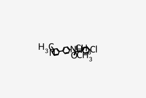 Cc1cc(-c2ccc(NC(=O)C(C)(C)c3ccc(Cl)cc3)cc2)ccn1